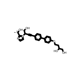 C[C@H](O)c1nccn1C(C#Cc1ccc(-c2ccc(OCCC(O)CO)cc2)cc1)CO